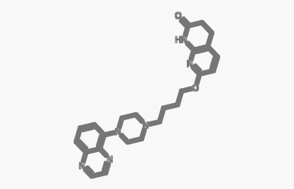 O=C1CCc2ccc(OCCCCN3CCN(c4cccc5nccnc45)CC3)nc2N1